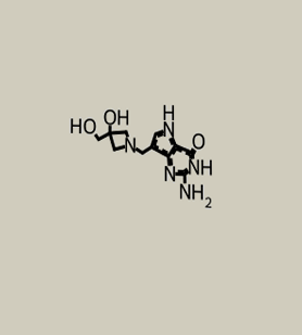 Nc1nc2c(CN3CC(O)(CO)C3)c[nH]c2c(=O)[nH]1